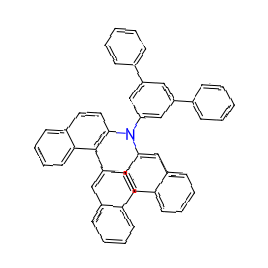 c1ccc(-c2cc(-c3ccccc3)cc(N(c3ccc4ccccc4c3)c3ccc4ccccc4c3-c3ccc4ccccc4c3)c2)cc1